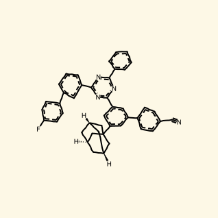 N#Cc1ccc(-c2cc(-c3nc(-c4ccccc4)nc(-c4cccc(-c5ccc(F)cc5)c4)n3)cc(C34C[C@H]5C[C@@H](C3)C[C@@H](C4)C5)c2)cc1